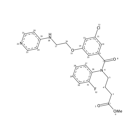 COC(=O)CCCN(C(=O)c1cc(Cl)cc(OCCNc2ccncc2)c1)c1ccccc1F